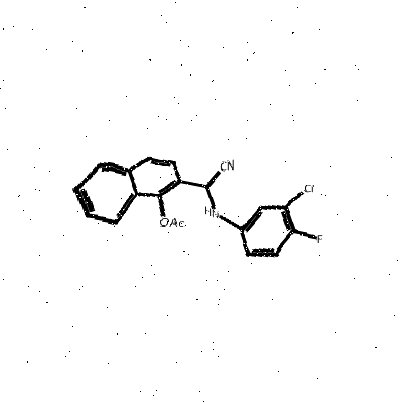 CC(=O)Oc1c(C(C#N)Nc2ccc(F)c(Cl)c2)ccc2ccccc12